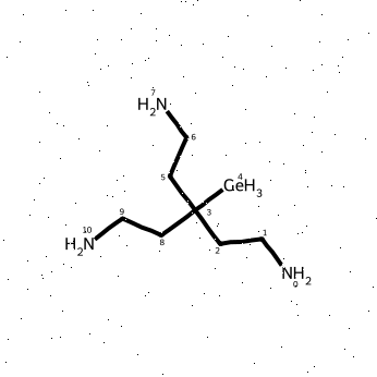 NCC[C]([GeH3])(CCN)CCN